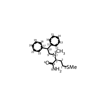 CSCC[C@@H](C(N)=O)N(C)CC(c1ccccc1)c1ccccc1